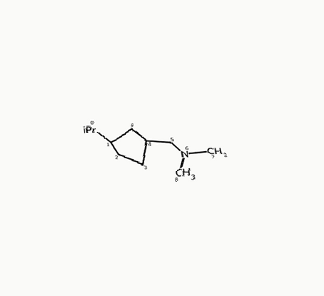 CC(C)C1CCC(CN(C)C)C1